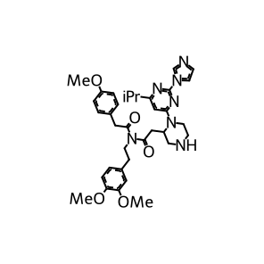 COc1ccc(CC(=O)N(CCc2ccc(OC)c(OC)c2)C(=O)CC2CNCCN2c2cc(C(C)C)nc(-n3ccnc3)n2)cc1